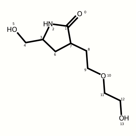 O=C1NC(CO)CC1CCOCCO